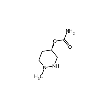 CN1CC[C@@H](OC(N)=O)CN1